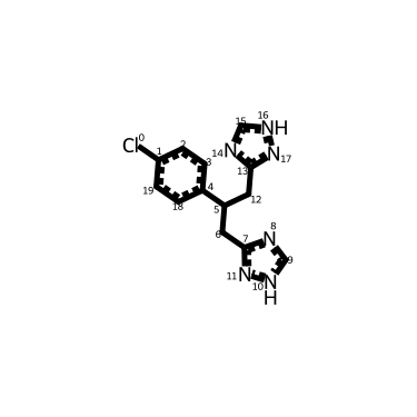 Clc1ccc(C(Cc2nc[nH]n2)Cc2nc[nH]n2)cc1